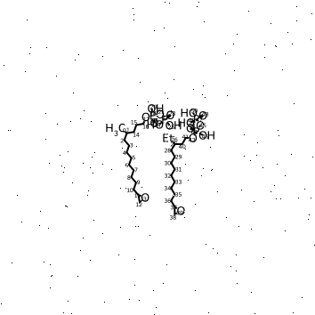 CC(CCCCCCCCCC1CO1)CCCOP(=O)(O)OP(=O)(O)O.CCC(CCCCCCCCCC1CO1)CCOP(=O)(O)OP(=O)(O)O